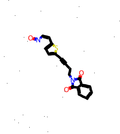 O=N/C=C\c1ccc(C#CCCN2C(=O)c3ccccc3C2=O)s1